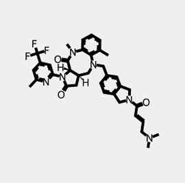 Cc1cc(C(F)(F)F)cc(N2C(=O)C[C@@H]3CN(Cc4ccc5c(c4)CN(C(=O)/C=C/CN(C)C)C5)c4c(C)cccc4N(C)C(=O)[C@H]32)n1